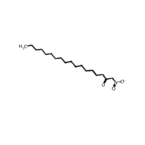 CCCCCCCCCCCCCCCCC(=O)C[N+](=O)[O-]